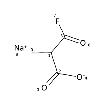 CC(C(=O)[O-])C(=O)F.[Na+]